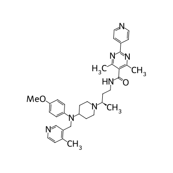 COc1ccc(N(Cc2cnccc2C)C2CCN([C@H](C)CCNC(=O)c3c(C)nc(-c4ccncc4)nc3C)CC2)cc1